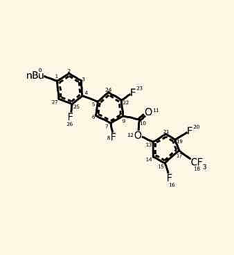 CCCCc1ccc(-c2cc(F)c(C(=O)Oc3cc(F)c(C(F)(F)F)c(F)c3)c(F)c2)c(F)c1